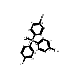 Fc1ccc([Si](Cl)(c2ccc(F)cc2)c2ccc(F)cc2)cc1